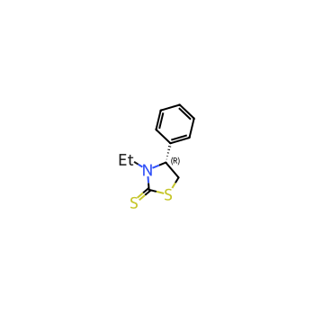 CCN1C(=S)SC[C@H]1c1ccccc1